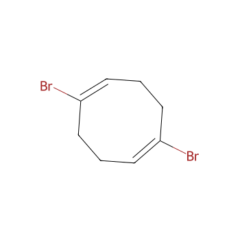 BrC1=CCCC(Br)=CCC1